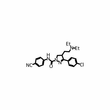 CCN(CC)CCC1CN(C(=O)Nc2ccc(C#N)cc2)N=C1c1ccc(Cl)cc1